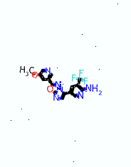 COc1cncc(-c2nn3c(-c4cnc(N)c(C(F)(F)F)c4)cnc3o2)c1